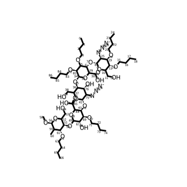 CCCCOC1[C@H](O[C@H]2OC(CO)[C@@H](OCCCC)[C@H](OCCCC)[C@@H]2N=[N+]=[N-])C(C(=O)O)O[C@@H](O[C@@H]2C(CO)O[C@@H](O[C@@H]3C(C(=O)O)OC(O[C@@H]4C(CO)O[C@H](OC)C(C)[C@H]4OCCCC)[C@@H](O)[C@@H]3OCCCC)C(N=[N+]=[N-])[C@H]2O)[C@H]1OCCCC